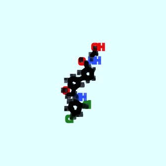 O=C(NCCO)c1cccc(-c2ccc3c(c2)C(Nc2ccc(Cl)cc2Cl)CO3)c1